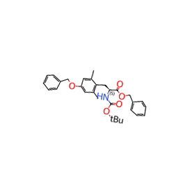 Cc1cc(OCc2ccccc2)cc(C)c1C[C@H](NC(=O)OC(C)(C)C)C(=O)OCc1ccccc1